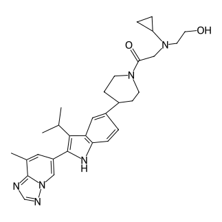 Cc1cc(-c2[nH]c3ccc(C4CCN(C(=O)CN(CCO)C5CC5)CC4)cc3c2C(C)C)cn2ncnc12